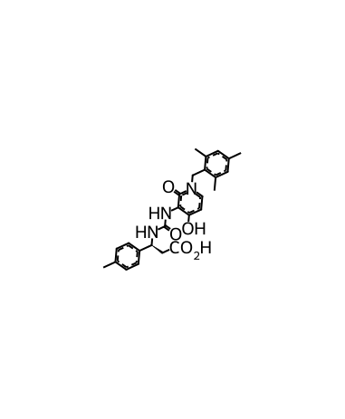 Cc1ccc([C@H](CC(=O)O)NC(=O)Nc2c(O)ccn(Cc3c(C)cc(C)cc3C)c2=O)cc1